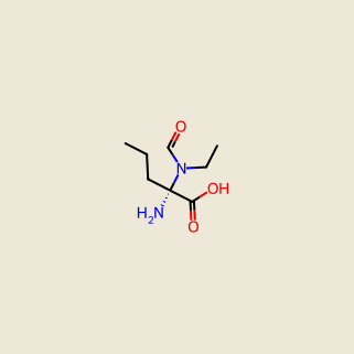 CCC[C@](N)(C(=O)O)N(C=O)CC